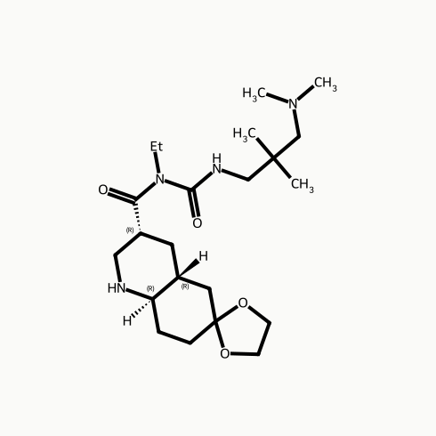 CCN(C(=O)NCC(C)(C)CN(C)C)C(=O)[C@H]1CN[C@@H]2CCC3(C[C@H]2C1)OCCO3